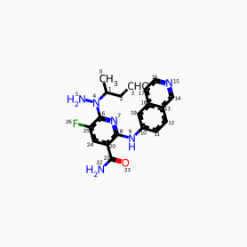 CC(CC=O)N(N)c1nc(Nc2ccc3cnccc3c2)c(C(N)=O)cc1F